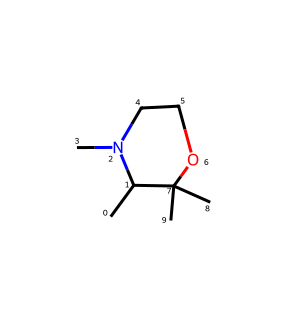 CC1N(C)CCOC1(C)C